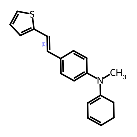 CN(C1=CC=CCC1)c1ccc(/C=C/c2cccs2)cc1